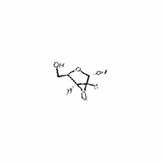 OC[C@H]1O[C@H](O)[C@@H]2O[C@H]21